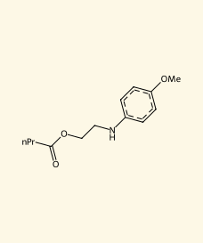 CCCC(=O)OCCNc1ccc(OC)cc1